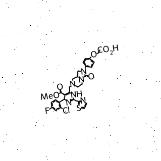 COC(=O)C1=C(CN2CCN3C(=O)N(c4ccc(OCC(=O)O)cc4)CC3C2)NC(c2nccs2)=NC1c1ccc(F)cc1Cl